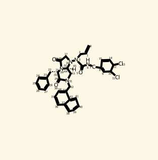 C=CCN(C(=O)NCC1=CC(Cl)C(Cl)C=C1)N1CC(=O)N2[C@@H](Cc3ccccc3)C(=O)N(Cc3cccc4ccccc34)C[C@@H]21